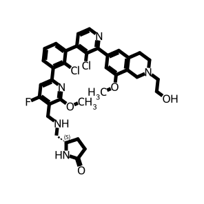 COc1cc(-c2nccc(-c3cccc(-c4cc(F)c(CNC[C@@H]5CCC(=O)N5)c(OC)n4)c3Cl)c2Cl)cc2c1CN(CCO)CC2